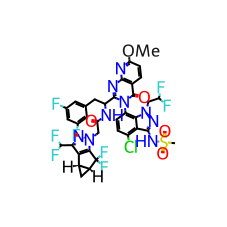 COc1ccc2c(=O)n(-c3ccc(Cl)c4c(NS(C)(=O)=O)nn(CC(F)F)c34)c(C(Cc3cc(F)cc(F)c3)NC(=O)Cn3nc(C(F)F)c4c3C(F)(F)[C@@H]3C[C@H]43)nc2n1